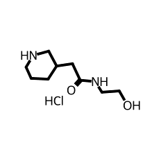 Cl.O=C(CC1CCCNC1)NCCO